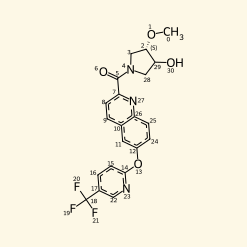 CO[C@H]1CN(C(=O)c2ccc3cc(Oc4ccc(C(F)(F)F)cn4)ccc3n2)CC1O